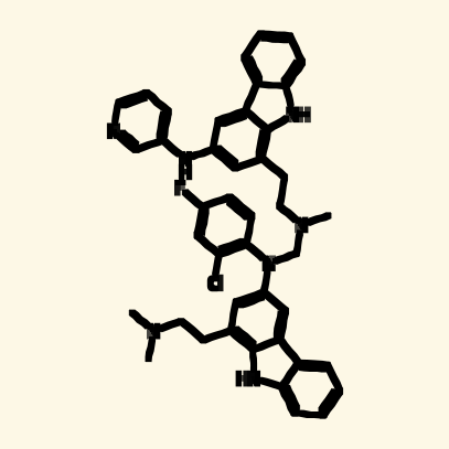 CN(C)CCc1cc(N(CN(C)CCc2cc(Nc3cccnc3)cc3c2[nH]c2ccccc23)c2ccc(F)cc2Cl)cc2c1[nH]c1ccccc12